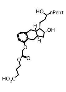 CCCCC[C@H](O)CC[C@@H]1[C@H]2Cc3cccc(OCC(=O)OCCCC(=O)O)c3C[C@H]2C[C@H]1O